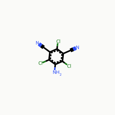 N#Cc1c(Cl)c(N)c(Cl)c(C#N)c1Cl